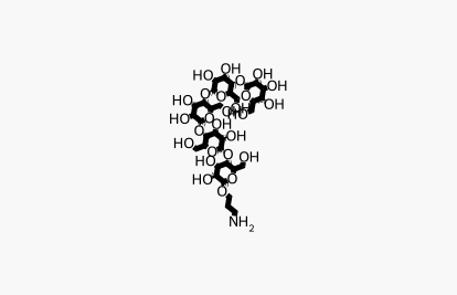 NCCCO[C@@H]1OC(CO)[C@@H](O[C@@H]2OC(CO)[C@@H](O[C@H]3OC(CO)[C@H](O[C@H]4OC(CO)[C@@H](O[C@@H]5OC(CO)[C@@H](O)C(O)[C@@H]5O)[C@H](O)C4O)[C@H](O)C3O)C(O)[C@@H]2O)C(O)[C@@H]1O